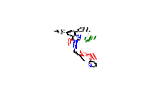 Cc1cc(C)c2ncn(C[C@@H](O)C[C@H]3NCCC[C@@H]3O)c(=O)c2c1.Cl